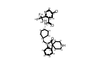 O=C(N[C@H]1CC[C@H](CN2C(=O)C3(CCNCC3)c3ccccc32)CC1)c1cc(Cl)cnc1C(F)(F)F